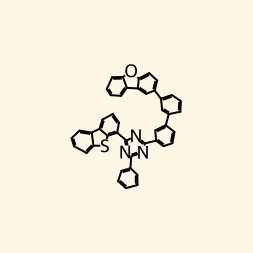 c1ccc(-c2nc(-c3cccc(-c4cccc(-c5ccc6oc7ccccc7c6c5)c4)c3)nc(-c3cccc4c3sc3ccccc34)n2)cc1